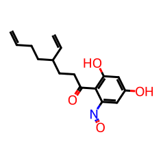 C=CCCC(C=C)CCC(=O)c1c(O)cc(O)cc1N=O